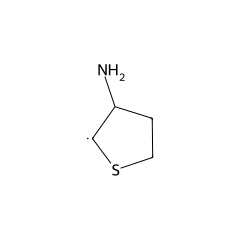 NC1[CH]SCC1